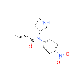 CC=CC(=O)N(c1ccc([N+](=O)[O-])cc1)C1CCNC1